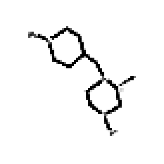 CC(C)N1CCC(CN2CCN(C(C)C)C[C@@H]2C)CC1